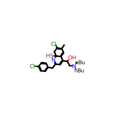 CCCCN(CCCC)CC(O)C1=CC(Cc2ccc(Cl)cc2)=NC2(S)CC(Cl)=C(C)C=C12